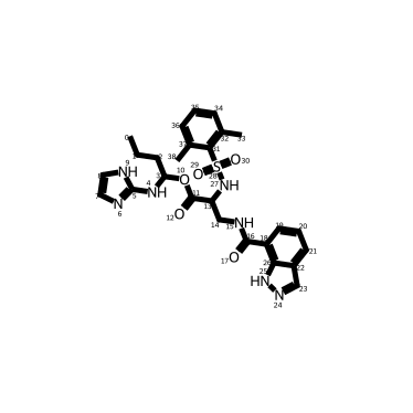 CCCC(Nc1ncc[nH]1)OC(=O)C(CNC(=O)c1cccc2cn[nH]c12)NS(=O)(=O)c1c(C)cccc1C